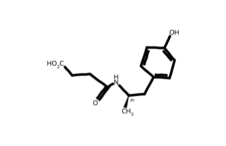 C[C@H](Cc1ccc(O)cc1)NC(=O)CCC(=O)O